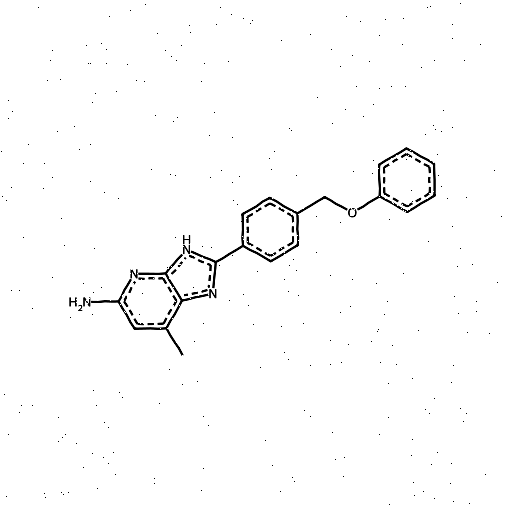 Cc1cc(N)nc2[nH]c(-c3ccc(COc4ccccc4)cc3)nc12